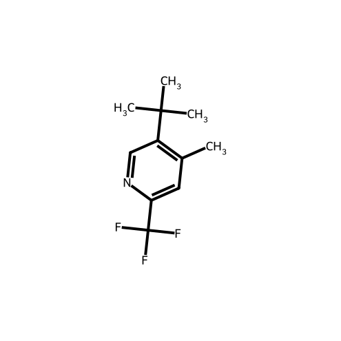 Cc1cc(C(F)(F)F)ncc1C(C)(C)C